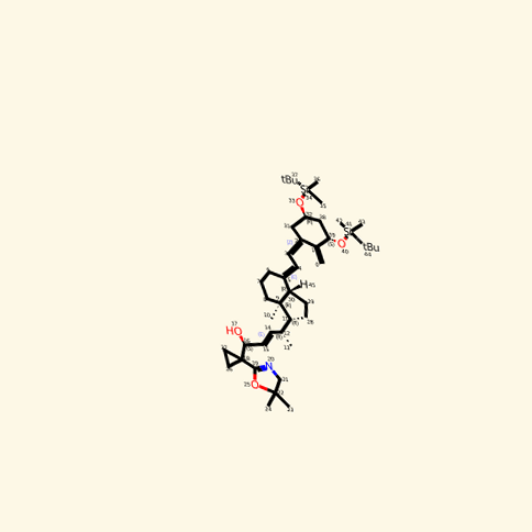 C=C1/C(=C\C=C2/CCC[C@]3(C)[C@@H]([C@H](C)/C=C/[C@H](O)C4(C5=NCC(C)(C)O5)CC4)CC[C@@H]23)C[C@@H](O[Si](C)(C)C(C)(C)C)C[C@@H]1O[Si](C)(C)C(C)(C)C